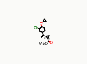 C=C(c1ccc(OC2CC2)c(Cl)c1)[C@H]1C[C@@H]1C(=O)OC